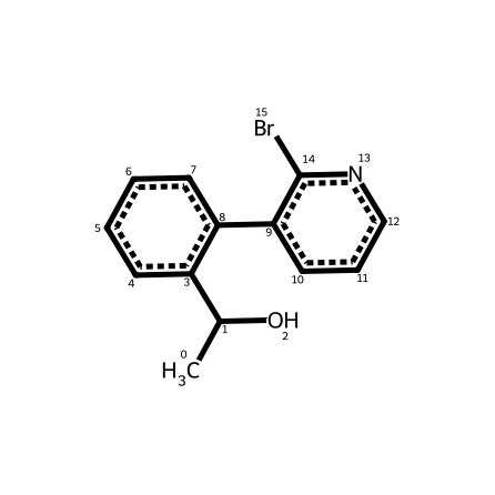 CC(O)c1ccccc1-c1cccnc1Br